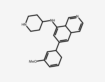 COC1=CC(C2=CC3C=CN=CC3C(NC3CCNCC3)=C2)CC=C1